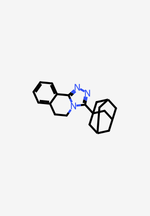 c1ccc2c(c1)CCn1c-2nnc1C12CC3CC(CC(C3)C1)C2